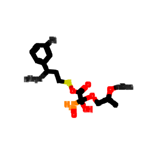 CCCCCCCCCCOC(C)COC(O)([PH2]=O)C(=O)OSCCC(CCCCCCC)c1cccc(CC)c1